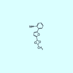 CC1OC(c2ccc(-c3ccccc3C#N)o2)O1